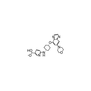 COC(O)c1ccc(N[C@H]2CC[C@@H](Oc3cc(N4CCOCC4)cc4nccnc34)CC2)nc1